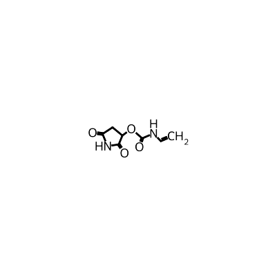 C=CNC(=O)OC1CC(=O)NC1=O